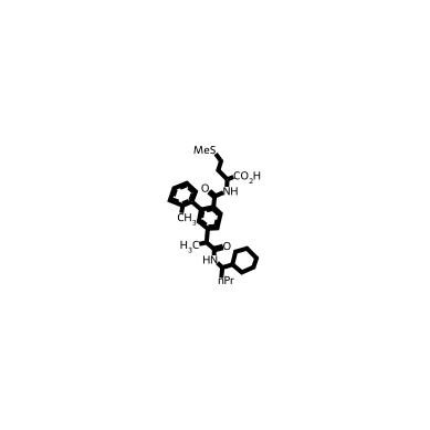 CCCC(NC(=O)C(C)c1ccc(C(=O)NC(CCSC)C(=O)O)c(-c2ccccc2C)c1)C1CCCCC1